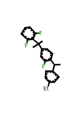 CCc1ccc(C(C)c2ccc(C(C)(C)c3c(F)cccc3F)cc2F)cc1